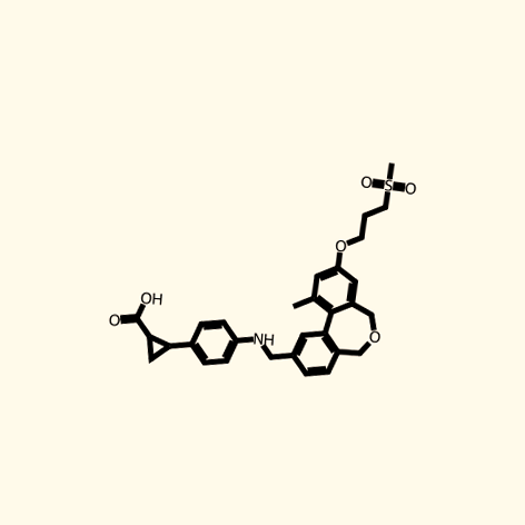 Cc1cc(OCCCS(C)(=O)=O)cc2c1-c1cc(CNc3ccc(C4CC4C(=O)O)cc3)ccc1COC2